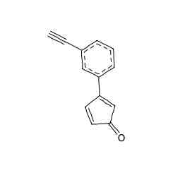 C#Cc1cccc(C2=CC(=O)C=C2)c1